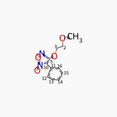 COCCOc1no[n+]([O-])c1-c1ccccc1